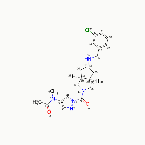 CC(=O)N(C)c1cnn(C(=O)N2C[C@H]3C[C@H](NCc4cccc(Cl)c4)C[C@H]3C2)c1